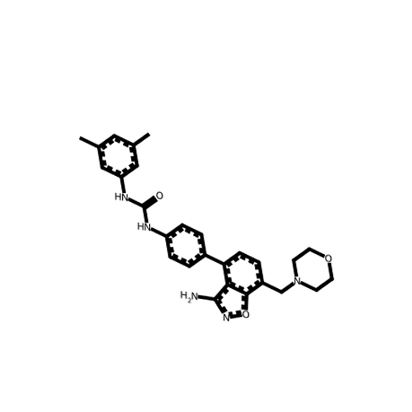 Cc1cc(C)cc(NC(=O)Nc2ccc(-c3ccc(CN4CCOCC4)c4onc(N)c34)cc2)c1